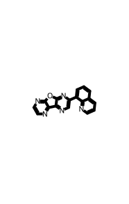 c1cnc2c(-c3cnc4c(n3)oc3nccnc34)cccc2c1